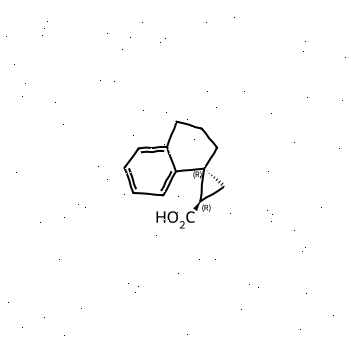 O=C(O)[C@@H]1C[C@]12CCCc1ccccc12